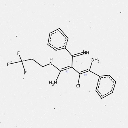 N=C(C(=C(/N)NCCC(F)(F)F)/C(Cl)=C(\N)c1ccccc1)c1ccccc1